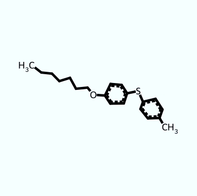 CCCCCCCOc1ccc(Sc2ccc(C)cc2)cc1